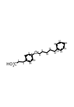 O=C(O)CCc1ccc(OCCCCCc2ccccc2)cc1